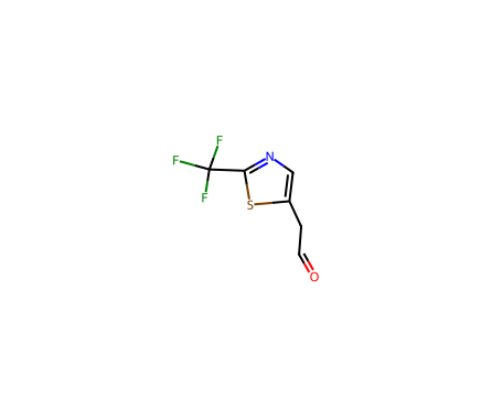 O=CCc1cnc(C(F)(F)F)s1